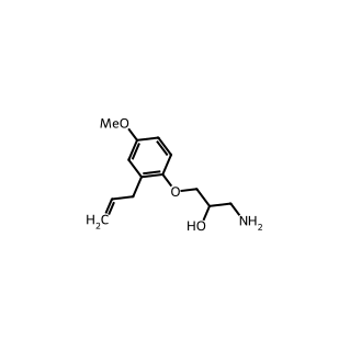 C=CCc1cc(OC)ccc1OCC(O)CN